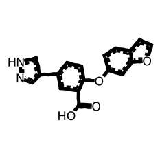 O=C(O)c1cc(-c2cn[nH]c2)ccc1Oc1ccc2ccoc2c1